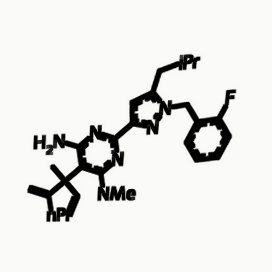 C=CC(C)(C(=C)CCC)c1c(N)nc(-c2cc(CC(C)C)n(Cc3ccccc3F)n2)nc1NC